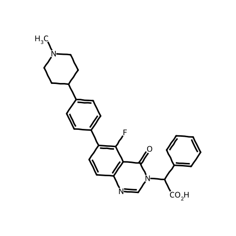 CN1CCC(c2ccc(-c3ccc4ncn(C(C(=O)O)c5ccccc5)c(=O)c4c3F)cc2)CC1